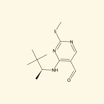 CSc1ncc(C=O)c(N[C@@H](C)C(C)(C)C)n1